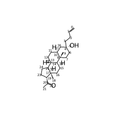 C=CCC[C@@]1(O)CC[C@@]2(C)[C@@H](CC[C@@H]3[C@@H]2CC[C@]2(C)[C@@H](C(C)=O)CC[C@@H]32)C1